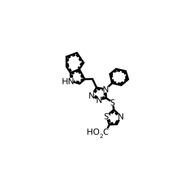 O=C(O)c1cnc(Sc2nnc(Cc3c[nH]c4ccccc34)n2-c2ccccc2)s1